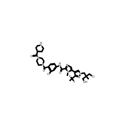 Cn1c(-c2cn(CC(C)(CO)CCl)nc2C(C)(F)F)cnc1C(=O)Nc1ccc(C(=O)N2CCN(C(=O)C3CCNCC3)CC2)c(Cl)c1